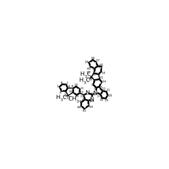 CC1(C)c2ccccc2-c2ccc(-c3nc(-n4c5ccccc5c5cc6c(cc54)C(C)(C)c4c-6ccc5ccccc45)nc4ccccc34)cc21